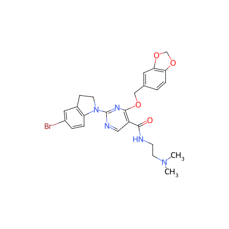 CN(C)CCNC(=O)c1cnc(N2CCc3cc(Br)ccc32)nc1OCc1ccc2c(c1)OCO2